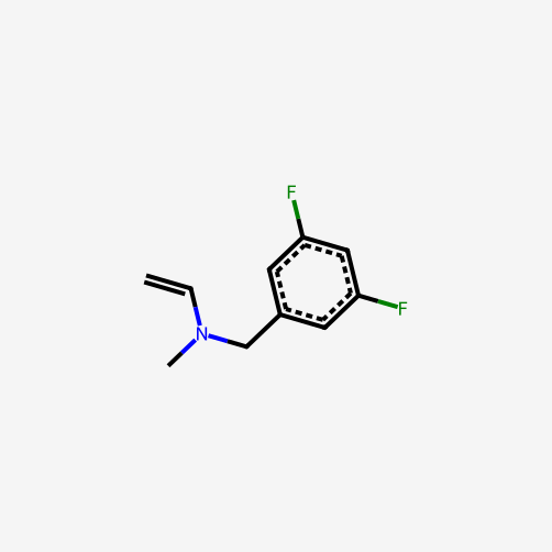 C=CN(C)Cc1cc(F)cc(F)c1